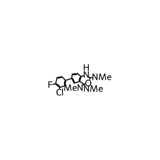 CNC1Nc2ccc(-c3ccc(F)c(Cl)c3)cc2C(NC)(NC)O1